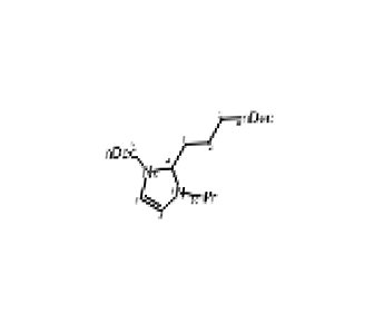 CCCCCCCCCCCCCC1N(CCCCCCCCCC)C=CN1C(C)C